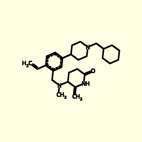 C=Cc1ccc(C2CCN(CC3CCCCC3)CC2)cc1CN(C)C1CCC(=O)NC1=C